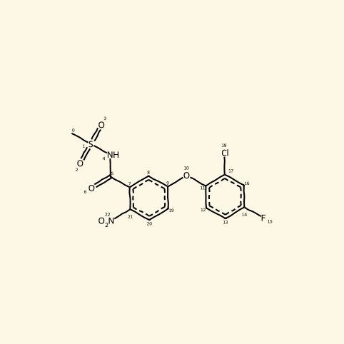 CS(=O)(=O)NC(=O)c1cc(Oc2ccc(F)cc2Cl)ccc1[N+](=O)[O-]